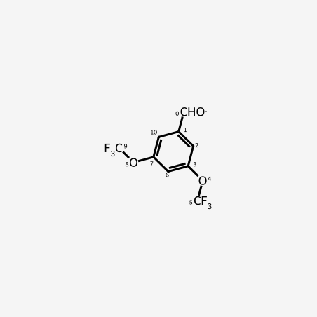 O=[C]c1cc(OC(F)(F)F)cc(OC(F)(F)F)c1